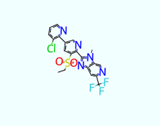 CCS(=O)(=O)c1cc(-c2ncccc2Cl)cnc1-c1nc2cc(C(F)(F)F)ncc2n1C